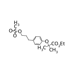 CCOC(=O)C(C)(C)Oc1ccc(CCCOS(C)(=O)=O)cc1